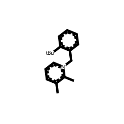 Cc1ccc[n+](Cc2ccccc2C(C)(C)C)c1C